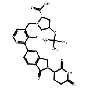 CC(C)(C)O[C@@H]1C[C@@H](C(=O)O)N(Cc2ccnc(-c3ccc4c(c3)CN(C3CCC(=O)NC3=O)C4=O)c2F)C1